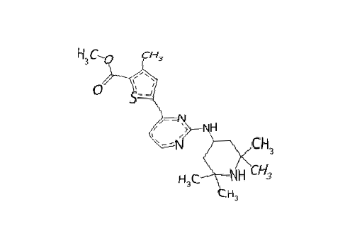 COC(=O)c1sc(-c2ccnc(NC3CC(C)(C)NC(C)(C)C3)n2)cc1C